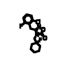 O=c1onc(Cc2c(F)cccc2Cl)n1CC1(F)CCCCC1